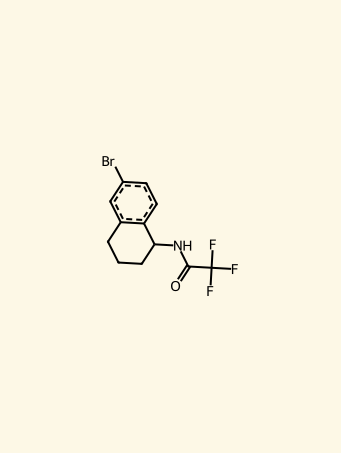 O=C(NC1CCCc2cc(Br)ccc21)C(F)(F)F